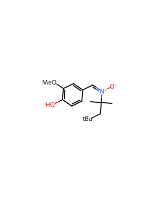 COc1cc(/C=[N+](/[O-])C(C)(C)CC(C)(C)C)ccc1O